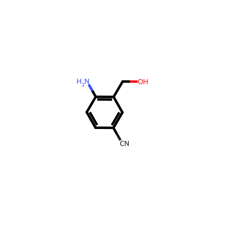 N#Cc1ccc(N)c(CO)c1